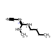 CCCCN/C(=N/C#N)NC